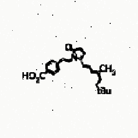 C/C(=C\C=C\[C@H]1CCC(=O)N1CCc1ccc(C(=O)O)cc1)CCC(C)(C)C